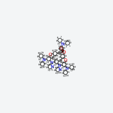 c1ccc(N(c2ccccc2)c2cc3c4c(c2)Oc2cc5c(cc2B4c2ccccc2O3)B2c3cc4c(cc3N(c3ccccn3)c3cc(N(c6ccccc6)c6ccccc6)cc(c32)O5)N(c2ccccn2)c2cc(N(c3ccccc3)c3ccccc3)cc3c2B4c2ccccc2O3)cc1